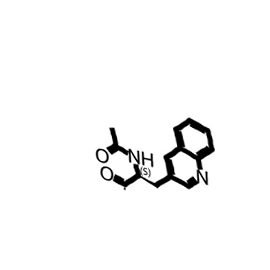 CC(=O)N[C@H]([C]=O)Cc1cnc2ccccc2c1